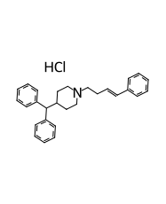 C(=Cc1ccccc1)CCN1CCC(C(c2ccccc2)c2ccccc2)CC1.Cl